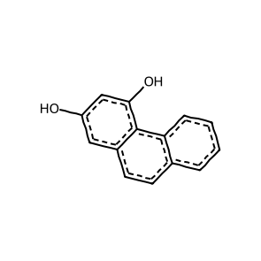 Oc1cc(O)c2c(ccc3ccccc32)c1